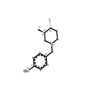 C[C@@H]1CCN(Cc2ccc(C(C)(C)C)cc2)C[C@H]1C